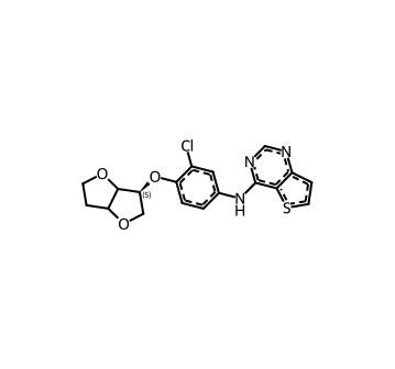 Clc1cc(Nc2ncnc3ccsc23)ccc1O[C@H]1COC2CCOC21